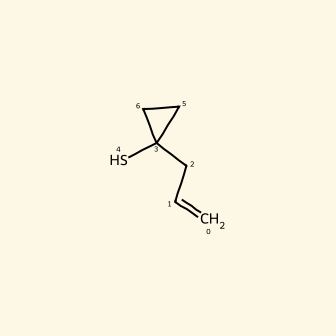 C=CCC1(S)CC1